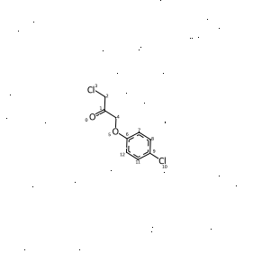 O=C(CCl)COc1ccc(Cl)cc1